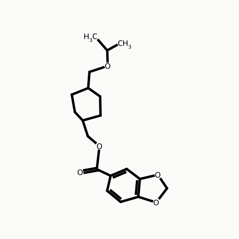 CC(C)OCC1CCC(COC(=O)c2ccc3c(c2)OCO3)CC1